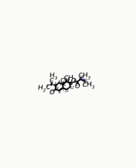 C=C(C)[C@H]1C[C@@]2(C)C(=CC1=O)CC[C@@H](OC(=O)/C(C)=C\C)[C@@H]2C